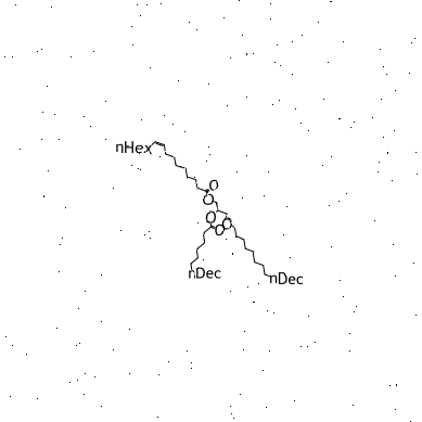 CCCCCC/C=C\CCCCCCCC(=O)OC[C@@H](COCCCCCCCCCCCCCCCCCC)OC(=O)CCCCCCCCCCCCCCC